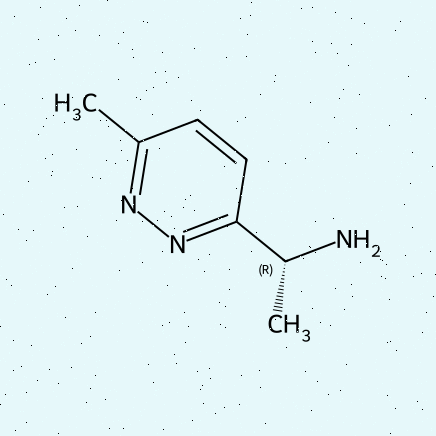 Cc1ccc([C@@H](C)N)nn1